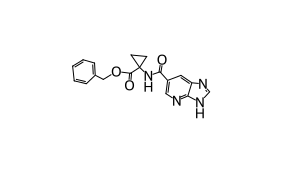 O=C(NC1(C(=O)OCc2ccccc2)CC1)c1cnc2[nH]cnc2c1